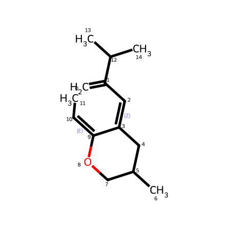 C=C(/C=C1/CC(C)CO/C1=C/C)C(C)C